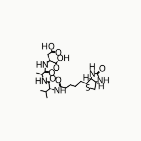 CC(C)[C@H](NC(=O)CCCC[C@@H]1SC[C@@H]2NC(=O)N[C@@H]21)C(=O)N[C@@H](C)C(=O)N[C@@H](CC(=O)O)C(=O)O